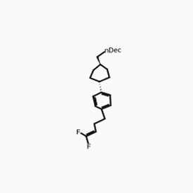 CCCCCCCCCCC[C@H]1CC[C@H](c2ccc(CCC=C(F)F)cc2)CC1